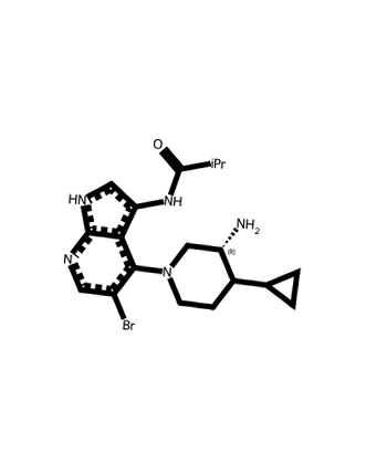 CC(C)C(=O)Nc1c[nH]c2ncc(Br)c(N3CCC(C4CC4)[C@@H](N)C3)c12